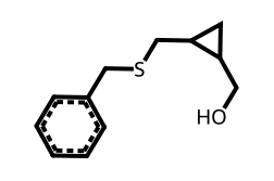 OCC1CC1CSCc1ccccc1